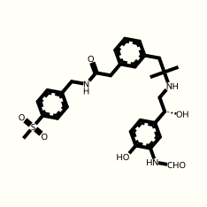 CC(C)(Cc1cccc(CC(=O)NCc2ccc(S(C)(=O)=O)cc2)c1)NC[C@H](O)c1ccc(O)c(NC=O)c1